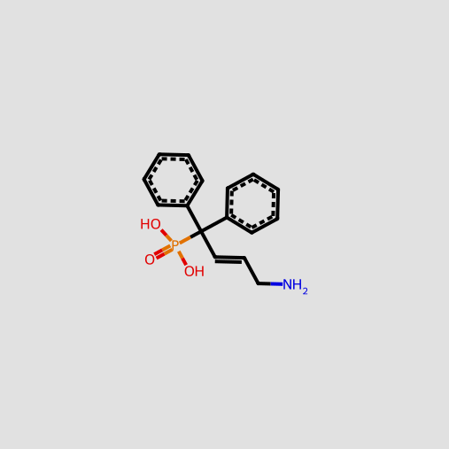 NCC=CC(c1ccccc1)(c1ccccc1)P(=O)(O)O